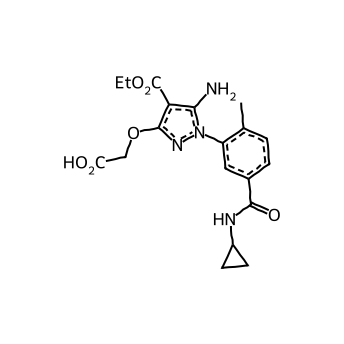 CCOC(=O)c1c(OCC(=O)O)nn(-c2cc(C(=O)NC3CC3)ccc2C)c1N